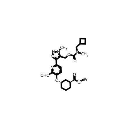 CC(C)OC(=O)[C@H]1CCC[C@H](Oc2ccc(-c3nnn(C)c3COC(=O)N(C)CC3CCC3)nc2C=O)C1